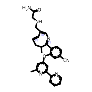 Cc1cc(Oc2cc(C#N)ccc2/C2=N/C=C(CNCC(N)=O)\C=C\CC2C)cc(-c2ccccn2)n1